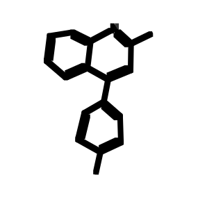 Cc1ccc(-c2cc(C)nc3ccccc23)cc1